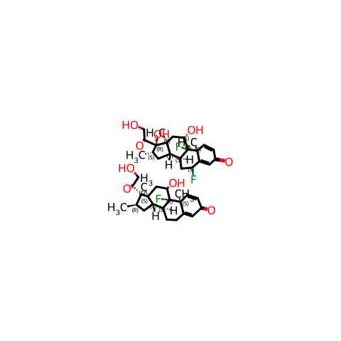 C[C@@H]1C[C@H]2[C@@H]3CCC4=CC(=O)C=C[C@]4(C)[C@@]3(F)C(O)C[C@]2(C)[C@H]1C(=O)CO.C[C@H]1C[C@H]2[C@@H]3C[C@H](F)C4=CC(=O)C=C[C@]4(C)[C@@]3(F)[C@@H](O)C[C@]2(C)[C@@]1(O)C(=O)CO